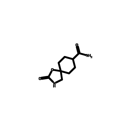 NC(=O)C1CCC2(CC1)CNC(=O)O2